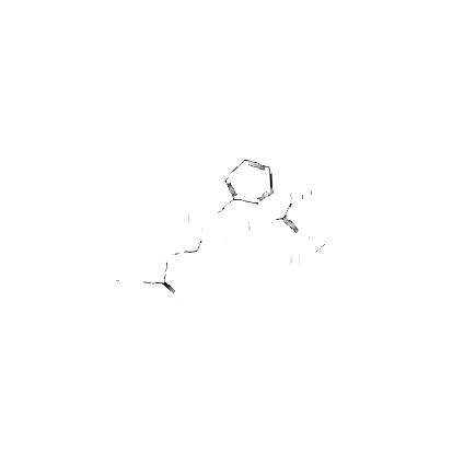 CC(C)=O.CCOC(C)=O.CO.Cc1ccccc1